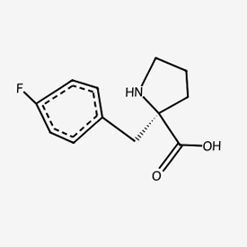 O=C(O)[C@]1(Cc2ccc(F)cc2)CCCN1